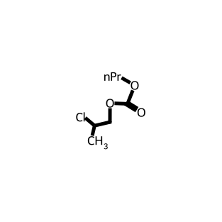 CCCOC(=O)OCC(C)Cl